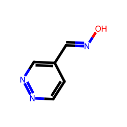 ON=Cc1ccnnc1